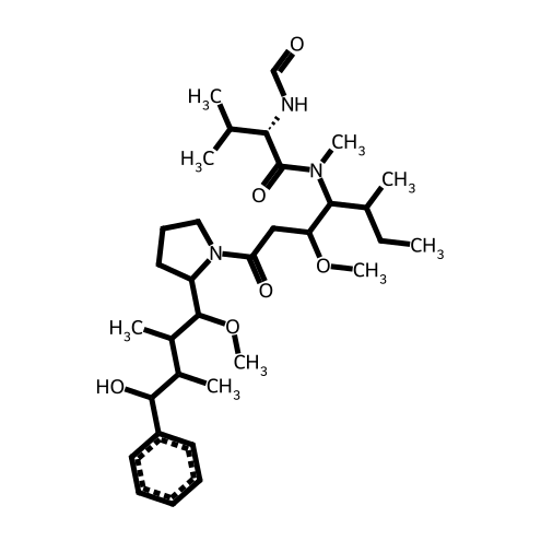 CCC(C)C(C(CC(=O)N1CCCC1C(OC)C(C)C(C)C(O)c1ccccc1)OC)N(C)C(=O)[C@@H](NC=O)C(C)C